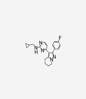 Fc1ccc(-c2nn3c(c2-c2ccnc(NCC4CC4)n2)CCCC3)cc1